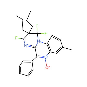 CCCC1(CCC)C(F)N=C2C(c3ccccc3)=[N+]([O-])c3cc(C)ccc3N2C1(F)F